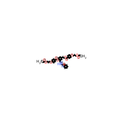 C=CC(=O)OCCCOc1ccc(C(=O)OCCc2ccc(OC(=O)c3ccc(OCCCOC(=O)C=C)cc3)c(/C=N/Nc3nc4ccccc4o3)c2)cc1